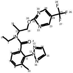 CCN(C(=O)c1cccc(C)c1-n1nccn1)C(C)COc1ncc(C(F)(F)F)cn1